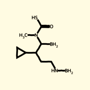 BNCCC(C1CC1)C(B)N(C)C(=O)S